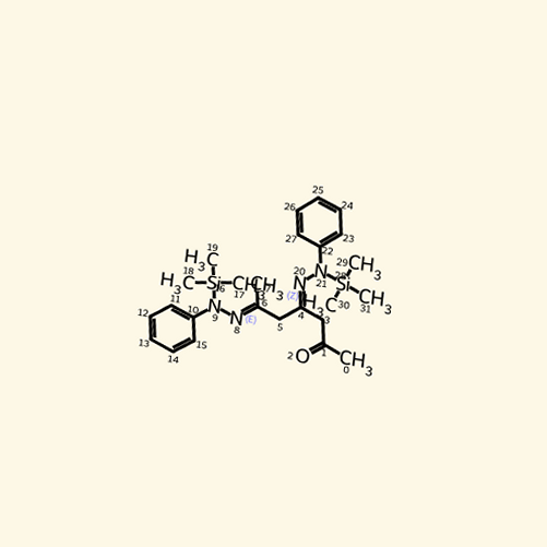 CC(=O)C/C(C/C(C)=N/N(c1ccccc1)[Si](C)(C)C)=N\N(c1ccccc1)[Si](C)(C)C